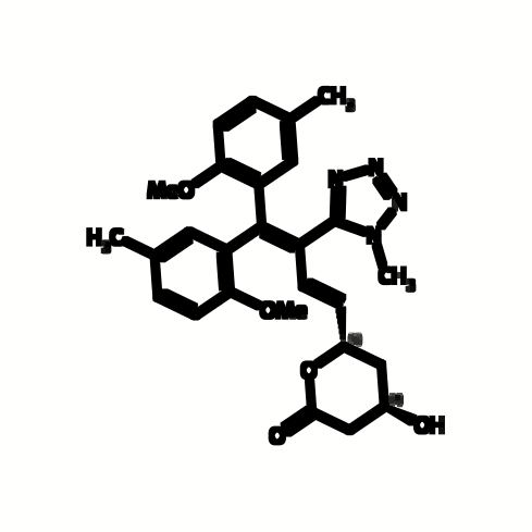 COc1ccc(C)cc1C(=C(C=C[C@@H]1C[C@@H](O)CC(=O)O1)c1nnnn1C)c1cc(C)ccc1OC